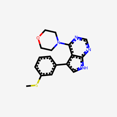 CSc1cccc(-c2c[nH]c3ncnc(N4CCOCC4)c23)c1